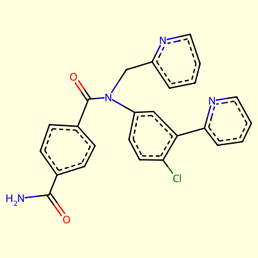 NC(=O)c1ccc(C(=O)N(Cc2ccccn2)c2ccc(Cl)c(-c3ccccn3)c2)cc1